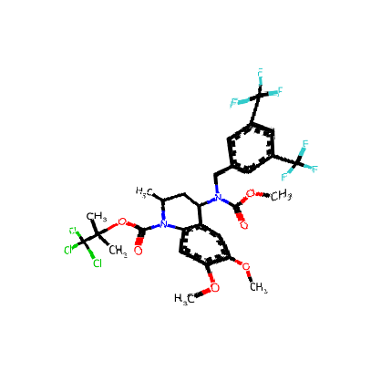 COC(=O)N(Cc1cc(C(F)(F)F)cc(C(F)(F)F)c1)C1CC(C)N(C(=O)OC(C)(C)C(Cl)(Cl)Cl)c2cc(OC)c(OC)cc21